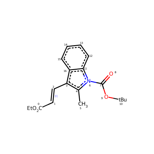 CCOC(=O)/C=C/c1c(C)n(C(=O)OC(C)(C)C)c2ccccc12